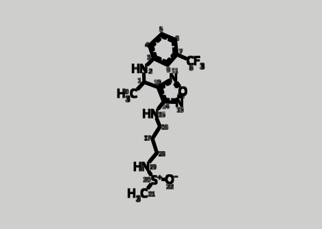 CC(Nc1cccc(C(F)(F)F)c1)c1nonc1NCCCN[S+](C)[O-]